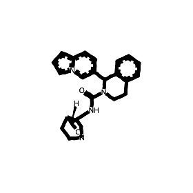 O=C(N[C@@H]1CN2CCC1CC2)N1CCc2ccccc2C1c1ccc2cccn2c1